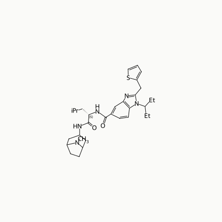 CCC(CC)n1c(Cc2cccs2)nc2cc(C(=O)N[C@@H](CC(C)C)C(=O)NC3CC4CCC(C3)N4C)ccc21